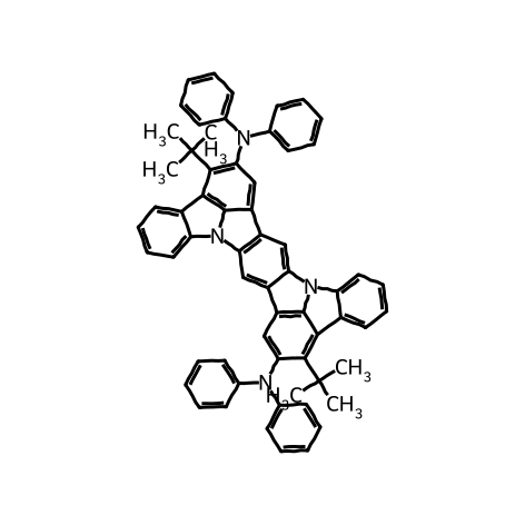 CC(C)(C)c1c(N(c2ccccc2)c2ccccc2)cc2c3cc4c(cc3n3c5ccccc5c1c23)c1cc(N(c2ccccc2)c2ccccc2)c(C(C)(C)C)c2c3ccccc3n4c12